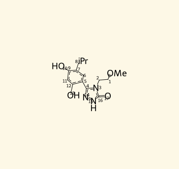 COCCn1c(-c2cc(C(C)C)c(O)cc2O)n[nH]c1=O